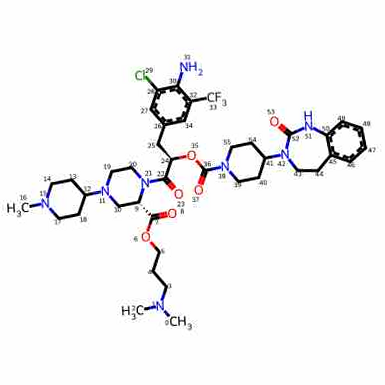 CN(C)CCCOC(=O)[C@@H]1CN(C2CCN(C)CC2)CCN1C(=O)[C@@H](Cc1cc(Cl)c(N)c(C(F)(F)F)c1)OC(=O)N1CCC(N2CCc3ccccc3NC2=O)CC1